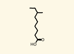 CCC(C)CCCCCC(=O)O